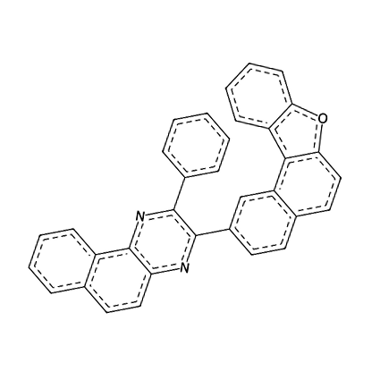 c1ccc(-c2nc3c(ccc4ccccc43)nc2-c2ccc3ccc4oc5ccccc5c4c3c2)cc1